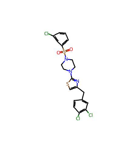 O=S(=O)(c1cccc(Cl)c1)N1CCN(c2nc(Cc3ccc(Cl)c(Cl)c3)cs2)CC1